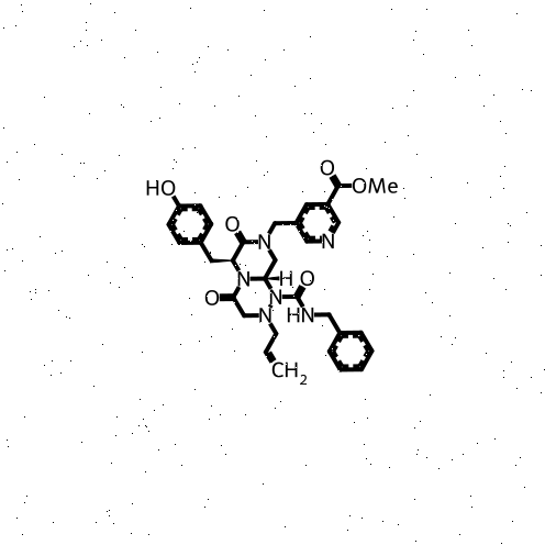 C=CCN1CC(=O)N2[C@@H](Cc3ccc(O)cc3)C(=O)N(Cc3cncc(C(=O)OC)c3)C[C@@H]2N1C(=O)NCc1ccccc1